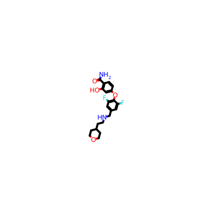 NC(=O)c1ccc(Oc2c(F)cc(CNCCC3CCOCC3)cc2F)cc1O